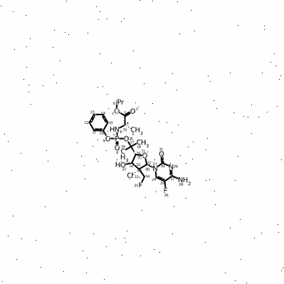 CC(C)OC(=O)[C@H](C)NP(=O)(Oc1ccccc1)OC(C)(C)[C@H]1O[C@@H](n2cc(F)c(N)nc2=O)[C@@](Cl)(CF)C1O